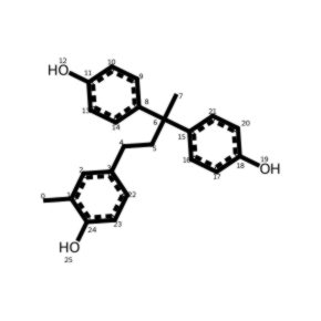 Cc1cc(CCC(C)(c2ccc(O)cc2)c2ccc(O)cc2)ccc1O